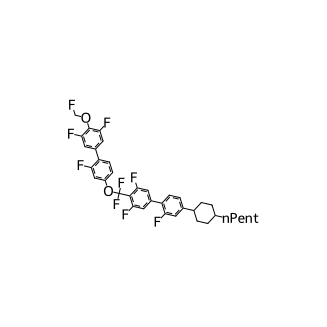 CCCCCC1CCC(c2ccc(-c3cc(F)c(C(F)(F)Oc4ccc(-c5cc(F)c(OCF)c(F)c5)c(F)c4)c(F)c3)c(F)c2)CC1